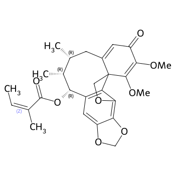 C/C=C(/C)C(=O)O[C@H]1c2cc3c(c4c2C2(CO4)C(=CC(=O)C(OC)=C2OC)C[C@@H](C)[C@H]1C)OCO3